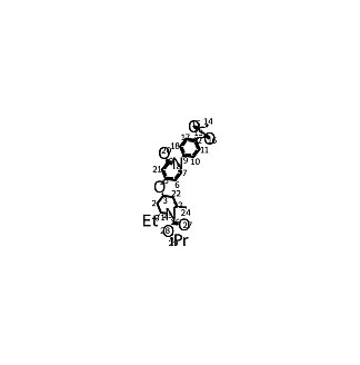 CC[C@@H]1C[C@@H](Oc2ccn(-c3ccc(S(C)(=O)=O)cc3)c(=O)c2)C[C@@H](C)N1C(=O)OC(C)C